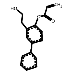 C=CC(=O)Oc1ccc(-c2ccccc2)cc1CCO